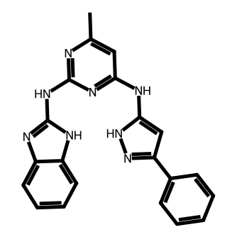 Cc1cc(Nc2cc(-c3ccccc3)n[nH]2)nc(Nc2nc3ccccc3[nH]2)n1